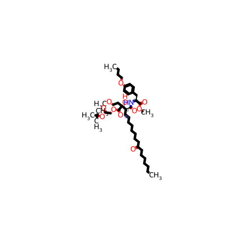 CCCCCCCC(=O)CCCCCC/C=C/[C@H](C(=O)N[C@@H](Cc1ccc(OCCCC)cc1)C(=O)OC)[C@@](O)(CCOC)C(=O)OCC(=O)OC(C)(C)C